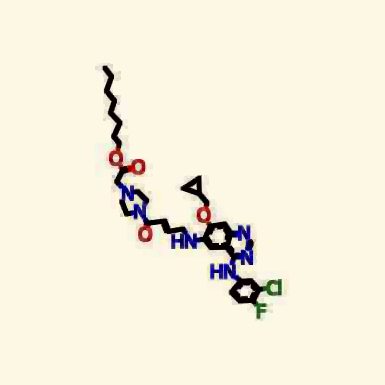 CCCCCCCCOC(=O)CN1CCN(C(=O)C=CCNc2cc3c(Nc4ccc(F)c(Cl)c4)ncnc3cc2OCC2CC2)CC1